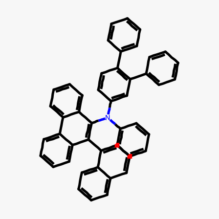 c1ccc(-c2ccc(N(c3ccccc3)c3c(-c4cccc5ccccc45)c4ccccc4c4ccccc34)cc2-c2ccccc2)cc1